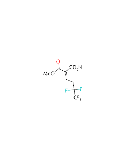 COC(=O)C(=CCC(F)(F)C(F)(F)F)C(=O)O